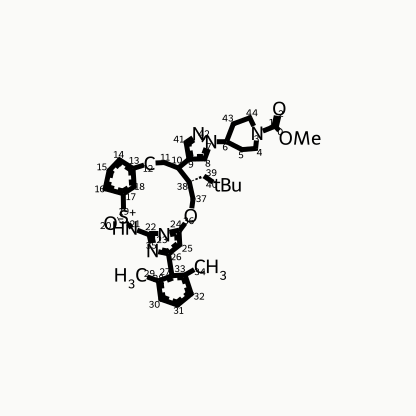 COC(=O)N1CCC(n2cc(C3CCc4cccc(c4)[S+]([O-])Nc4nc(cc(-c5c(C)cccc5C)n4)OC[C@H]3CC(C)(C)C)cn2)CC1